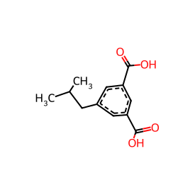 CC(C)Cc1cc(C(=O)O)cc(C(=O)O)c1